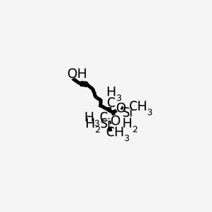 C[SiH2]OC(O[SiH2]C)C(C)(C)CCCCC#CCO